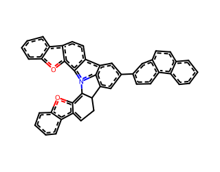 C1=c2c(oc3ccccc23)=C2C(C1)c1cc(-c3ccc4c(ccc5ccccc54)c3)cc3c4ccc5c6ccccc6oc5c4n2c13